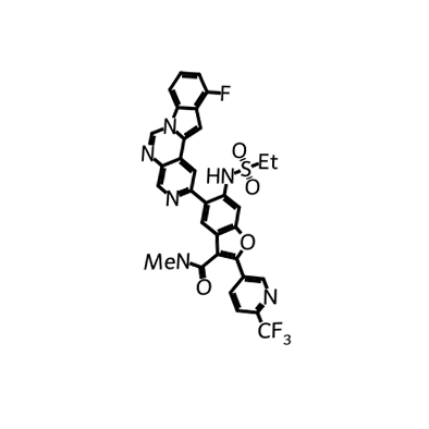 CCS(=O)(=O)Nc1cc2oc(-c3ccc(C(F)(F)F)nc3)c(C(=O)NC)c2cc1-c1cc2c(cn1)ncn1c3cccc(F)c3cc21